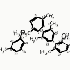 Cc1ccc(C)cc1.Cc1cccc(C)c1.Cc1cccc(C)c1.Cc1cccc(C)c1